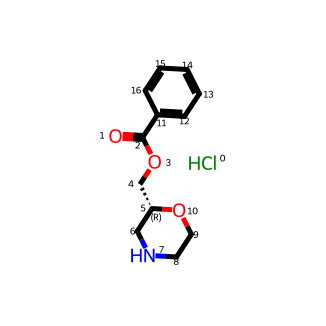 Cl.O=C(OC[C@H]1CNCCO1)c1ccccc1